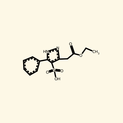 CCOC(=O)Cc1n[nH]c(-c2ccccc2)c1S(=O)(=O)O